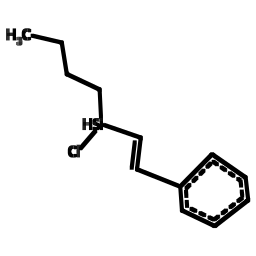 CCCC[SiH](Cl)C=Cc1ccccc1